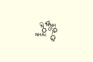 CC(=O)Nc1ccc(N2CCC[C@@H]2c2csc(NC(=O)c3cccn3Cc3ccncc3)n2)cc1